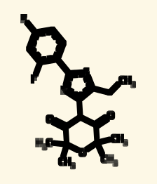 CCc1sc(-c2ccc(F)cc2F)nc1C1C(=O)C(C)(C)OC(C)(C)C1=O